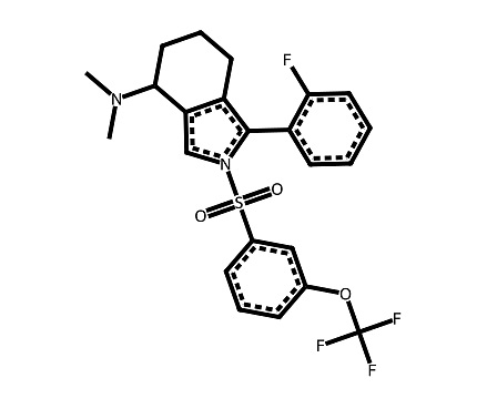 CN(C)C1CCCc2c1cn(S(=O)(=O)c1cccc(OC(F)(F)F)c1)c2-c1ccccc1F